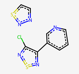 Clc1nsnc1-c1cccnc1.c1csnn1